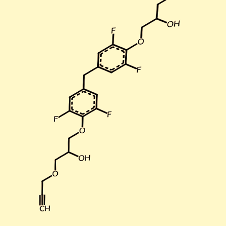 C#CCOCC(O)COc1c(F)cc(Cc2cc(F)c(OCC(O)CCl)c(F)c2)cc1F